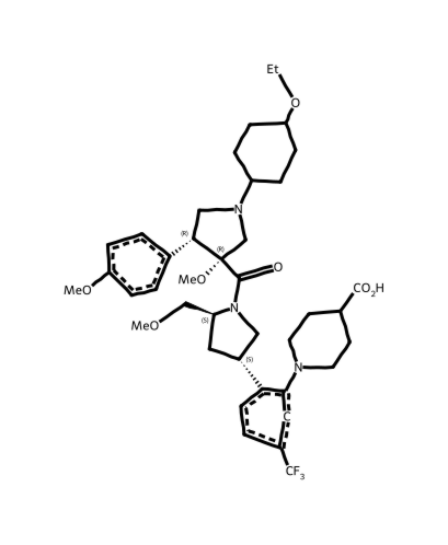 CCOC1CCC(N2C[C@@H](c3ccc(OC)cc3)[C@](OC)(C(=O)N3C[C@H](c4ccc(C(F)(F)F)cc4N4CCC(C(=O)O)CC4)C[C@H]3COC)C2)CC1